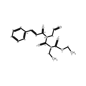 CCOC(=O)N(CC)C(=O)N(C[C]=O)C(=O)C=Cc1ccccc1